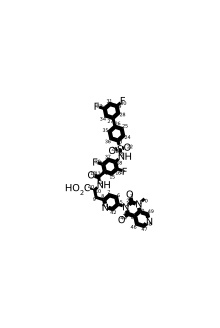 Cn1c(=O)n(-c2ccc(C[C@H](NC(=O)c3cc(F)c(NS(=O)(=O)c4ccc(-c5cc(F)cc(F)c5)cc4)cc3F)C(=O)O)nc2)c(=O)c2ccncc21